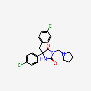 O=C1NC(Cc2ccc(Cl)cc2)(c2ccc(Cl)cc2)C(=O)N1CN1CCCC1